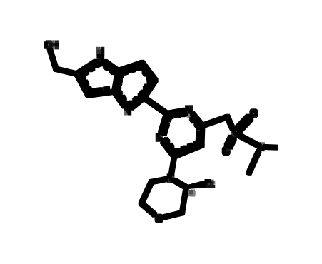 CC[C@H]1COCCN1c1cc(CS(=O)(=O)N(C)C)nc(-c2ccc3[nH]c(CO)cc3n2)n1